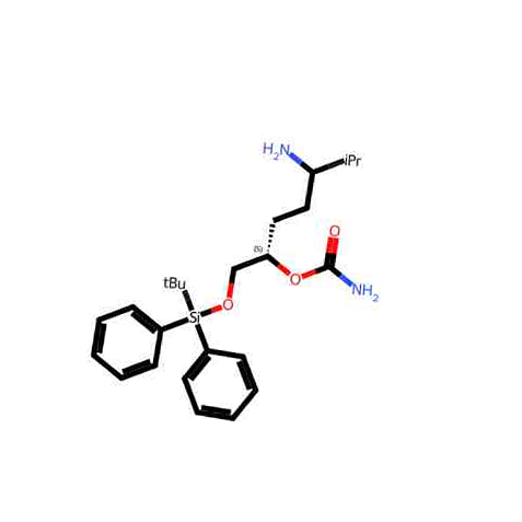 CC(C)C(N)CC[C@@H](CO[Si](c1ccccc1)(c1ccccc1)C(C)(C)C)OC(N)=O